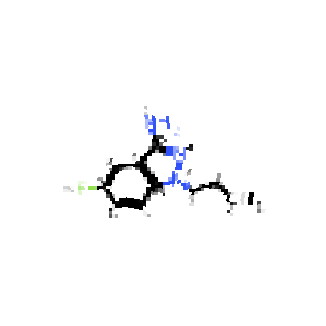 CCCn1nc(N)c2cc(F)ccc21